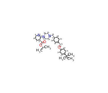 CC(C)OC(=O)c1cccnc1N1CCN(Cc2ccc(COc3ccc(C(C)(C)C)cc3)cc2)CC1